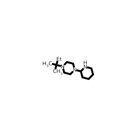 CCC(C)(C)N1CCN(C2CCCCN2)CC1